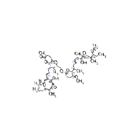 CC[C@H](OC)[C@@H](C)[C@H]1O[C@@H]1[C@H](O)[C@@H](C)/C=C/C=C(\C)[C@@H]1O[C@@H](OCCO[C@@H]2CC[C@H](OC)O[C@H]2/C(C)=C/C=C/[C@H](C)[C@@H](O)[C@H]2O[C@@H]2[C@H](C)[C@H](CC)OC)CC[C@@H]1OC